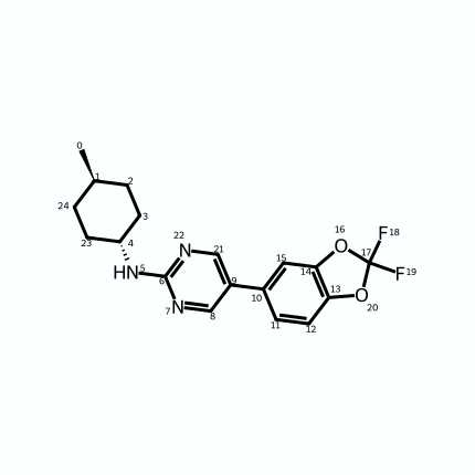 C[C@H]1CC[C@H](Nc2ncc(-c3ccc4c(c3)OC(F)(F)O4)cn2)CC1